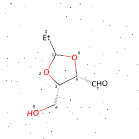 CCC1O[C@@H](CO)[C@@H](C=O)O1